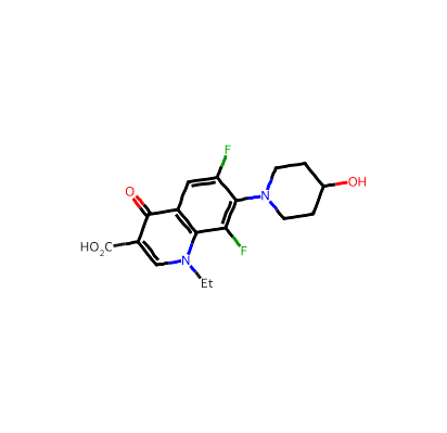 CCn1cc(C(=O)O)c(=O)c2cc(F)c(N3CCC(O)CC3)c(F)c21